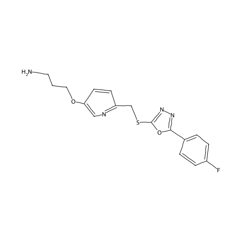 NCCCOc1ccc(CSc2nnc(-c3ccc(F)cc3)o2)nc1